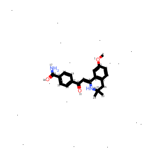 COc1ccc2c(c1)C(=CC(=O)c1ccc(C(N)=O)cc1)NC(C)(C)C2